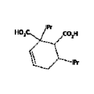 CC(C)C1CC=CC(C(=O)O)(C(C)C)C1C(=O)O